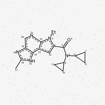 CCn1c(C(=O)N(C2CC2)C2CC2)cc2c3[nH]c(C)nc3cnc21